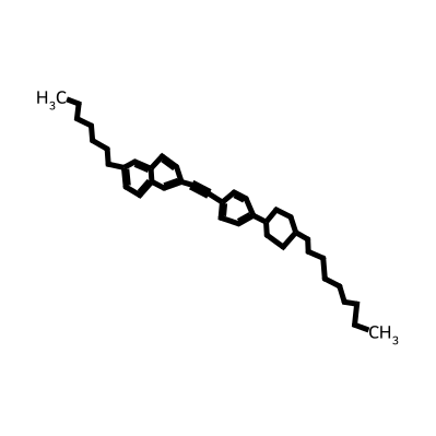 CCCCCCCCCC1CCC(c2ccc(C#Cc3ccc4cc(CCCCCCC)ccc4c3)cc2)CC1